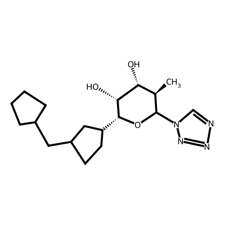 C[C@H]1C(n2cnnn2)O[C@H](C2CCC(CC3CCCC3)C2)[C@H](O)[C@@H]1O